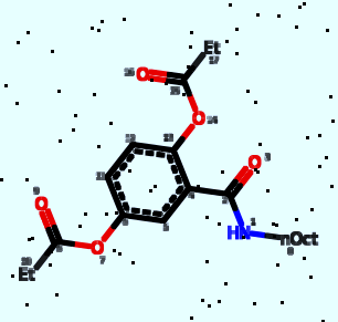 CCCCCCCCNC(=O)c1cc(OC(=O)CC)ccc1OC(=O)CC